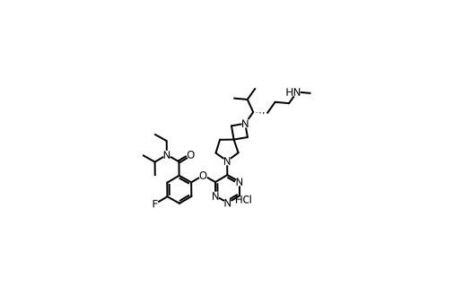 CCN(C(=O)c1cc(F)ccc1Oc1nncnc1N1CCC2(C1)CN([C@@H](CCCNC)C(C)C)C2)C(C)C.Cl